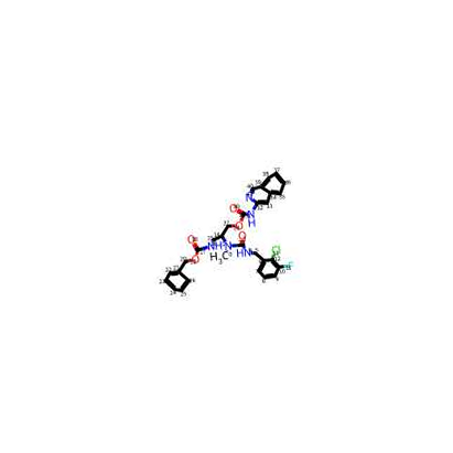 CN(C(=O)NCc1cccc(F)c1Cl)C(CNC(=O)OCc1ccccc1)COC(=O)Nc1cc2ccccc2cn1